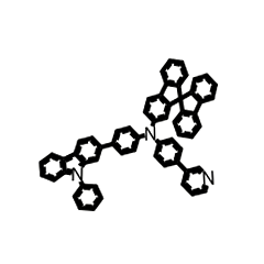 c1ccc(-n2c3ccccc3c3ccc(-c4ccc(N(c5ccc(-c6cccnc6)cc5)c5ccc6c(c5)C5(c7ccccc7-c7ccccc75)c5ccccc5-6)cc4)cc32)cc1